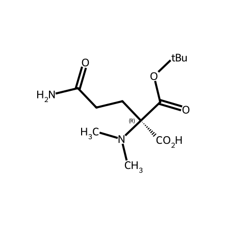 CN(C)[C@](CCC(N)=O)(C(=O)O)C(=O)OC(C)(C)C